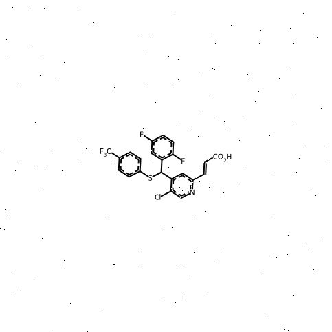 O=C(O)C=Cc1cc(C(Sc2ccc(C(F)(F)F)cc2)c2cc(F)ccc2F)c(Cl)cn1